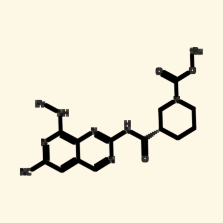 CC(C)Nc1nc(C#N)cc2cnc(NC(=O)[C@H]3CCCN(C(=O)OC(C)(C)C)C3)nc12